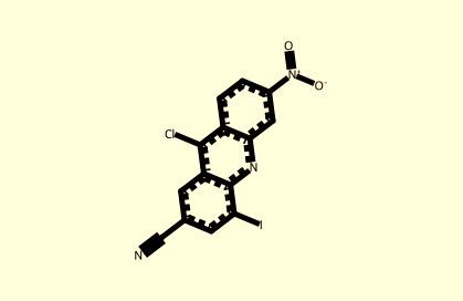 N#Cc1cc(I)c2nc3cc([N+](=O)[O-])ccc3c(Cl)c2c1